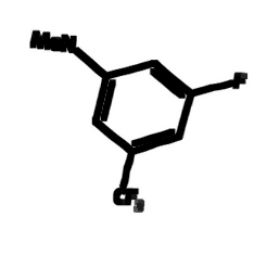 CNc1cc(F)cc(C(F)(F)F)c1